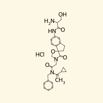 C[C@@H](C1CC1)N(Cc1ccccc1)C(=O)CN1COC2(CCc3cc(NC(=O)C(N)CO)ccc32)C1=O.Cl